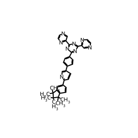 CC1(C)c2ccc(-c3ccc(-c4ccc(-c5nc(-c6cnccn6)nc(-c6cnccn6)n5)cc4)cn3)cc2C(C)(C)C1(C)C